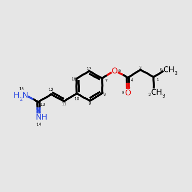 CC(C)CC(=O)Oc1ccc(C=CC(=N)N)cc1